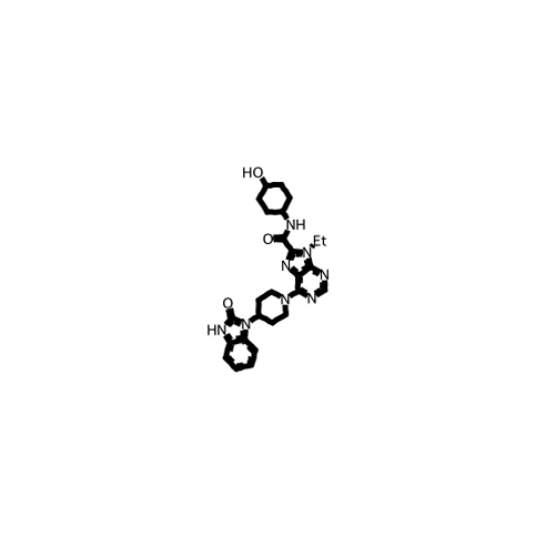 CCn1c(C(=O)NC2CCC(O)CC2)nc2c(N3CCC(n4c(=O)[nH]c5ccccc54)CC3)ncnc21